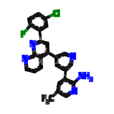 Nc1ncc(C(F)(F)F)cc1-c1cncc(-c2cc(-c3cc(Cl)ccc3F)nc3ncccc23)c1